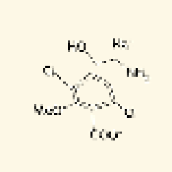 COc1c(Cl)ccc(Cl)c1C(=O)[O-].NCCO.[Na+]